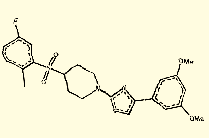 COc1cc(OC)cc(-c2csc(N3CCC(S(=O)(=O)c4cc(F)ccc4C)CC3)n2)c1